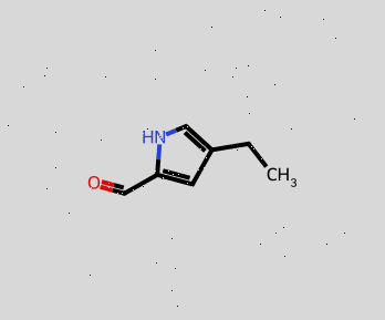 CCc1c[nH]c(C=O)c1